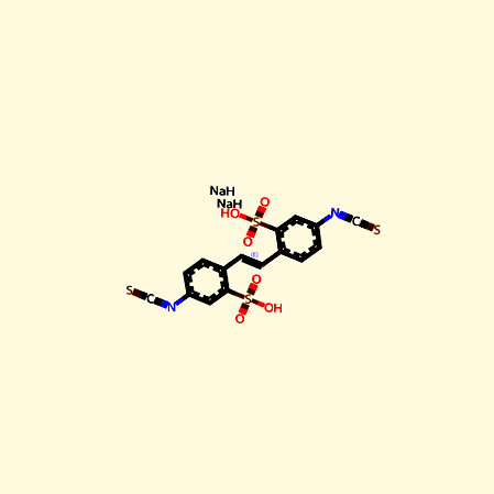 O=S(=O)(O)c1cc(N=C=S)ccc1/C=C/c1ccc(N=C=S)cc1S(=O)(=O)O.[NaH].[NaH]